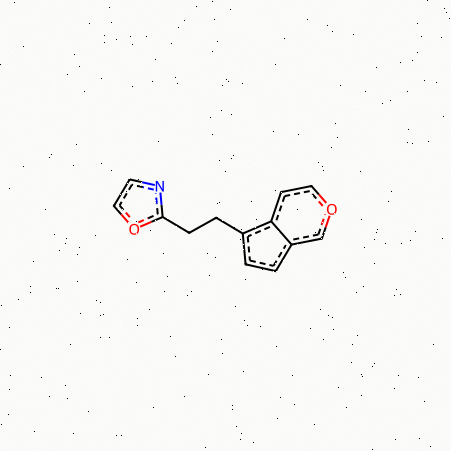 c1coc(CCc2ccc3coccc2-3)n1